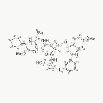 COC(=O)[C@@H](NC(=O)[C@@H](NC(=O)N1C[C@H](Oc2cc(-c3ccccc3)nc3cc(OC)ccc23)C[C@H]1C(=O)N[C@]1(C(=O)O)C[C@H]1I)C(C)(C)C)C1CCCCC1